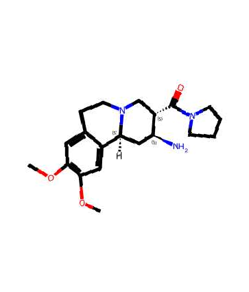 COc1cc2c(cc1OC)[C@@H]1C[C@H](N)[C@@H](C(=O)N3CCCC3)CN1CC2